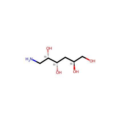 NC[C@H](O)[C@@H](O)C[C@H](O)CO